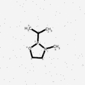 CC(C)P1OCCN1C